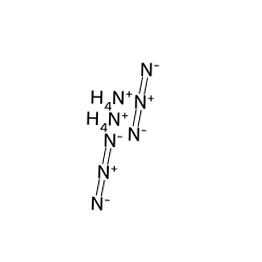 [N-]=[N+]=[N-].[N-]=[N+]=[N-].[NH4+].[NH4+]